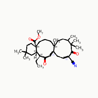 CC[C@@H]1C(=O)/C=C2/C/C=C(/C#N)C(=O)C(C)(C)C(C)CC[C@@]2(C)CCC[C@@]2(C(=O)OC)CCC(C)(C)C[C@@H]12